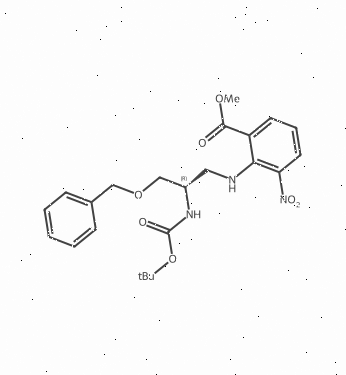 COC(=O)c1cccc([N+](=O)[O-])c1NC[C@H](COCc1ccccc1)NC(=O)OC(C)(C)C